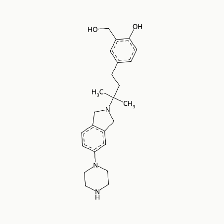 CC(C)(CCc1ccc(O)c(CO)c1)N1Cc2ccc(N3CCNCC3)cc2C1